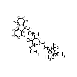 CCNC(=O)C(CCCCNOC(C)(C)C)NOCC1c2ccccc2-c2ccccc21